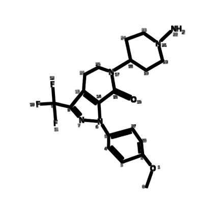 COc1ccc(-n2nc(C(F)(F)F)c3c2C(=O)N(C2CCN(N)CC2)CC3)cc1